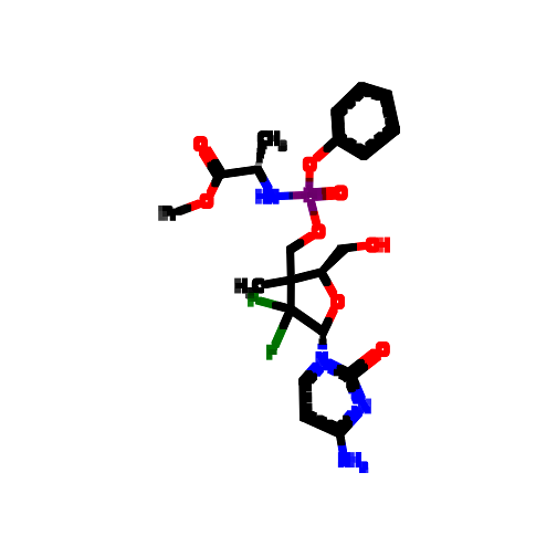 CC(C)OC(=O)[C@H](C)NP(=O)(OCC1(C)[C@@H](CO)O[C@H](n2ccc(N)nc2=O)C1(F)F)Oc1ccccc1